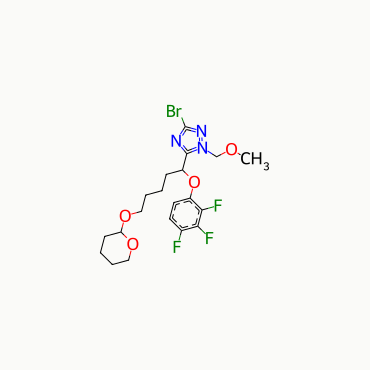 COCn1nc(Br)nc1C(CCCCOC1CCCCO1)Oc1ccc(F)c(F)c1F